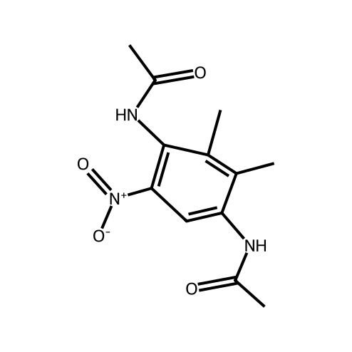 CC(=O)Nc1cc([N+](=O)[O-])c(NC(C)=O)c(C)c1C